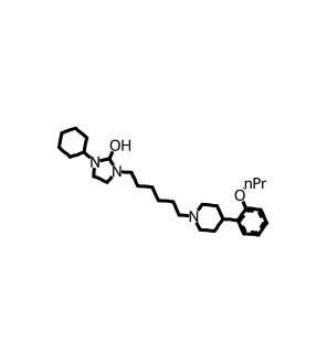 CCCOc1ccccc1C1CCN(CCCCCCN2CCN(C3CCCCC3)C2O)CC1